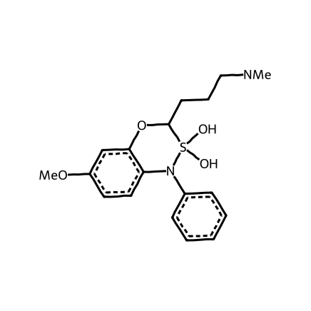 CNCCCC1Oc2cc(OC)ccc2N(c2ccccc2)S1(O)O